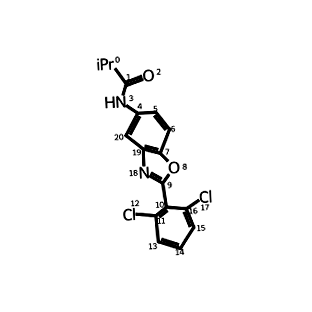 CC(C)C(=O)Nc1ccc2oc(-c3c(Cl)cccc3Cl)nc2c1